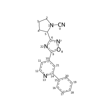 N#CN1CCCC1c1noc(-c2ccnc(-c3ccccc3)c2)n1